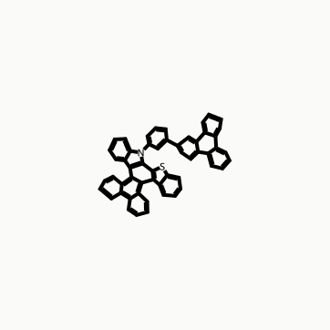 c1cc(-c2ccc3c4ccccc4c4ccccc4c3c2)cc(-n2c3ccccc3c3c4c5ccccc5c5ccccc5c4c4c5ccccc5sc4c32)c1